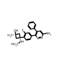 C[C@]1(O)C[C@@](NC(=O)O)(c2ccc(-c3nnc(N)cc3-c3ccccc3)cc2F)C1